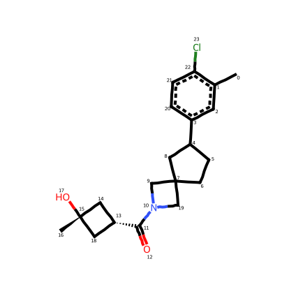 Cc1cc(C2CCC3(C2)CN(C(=O)[C@H]2C[C@@](C)(O)C2)C3)ccc1Cl